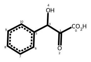 O=C(O)C(=O)C(O)c1ccccc1